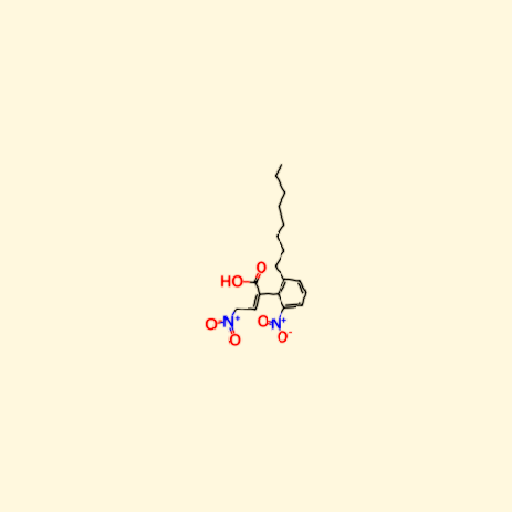 CCCCCCCCc1cccc([N+](=O)[O-])c1C(=CC[N+](=O)[O-])C(=O)O